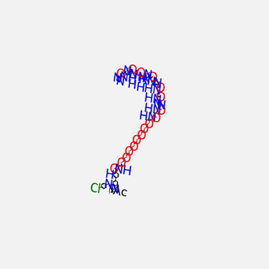 CC(=O)N1c2ccc(-c3ccc(C(=O)NCCOCCOCCOCCOCCOCCOCCOCCOCCNC(=O)CCNC(=O)c4nc(NC(=O)CCNC(=O)c5cc(NC(=O)c6nc(NC(=O)CCNC(=O)C7CC(NC(=O)c8nccn8C)=CN7C)cn6C)cn5C)cn4C)cc3)cc2C(Nc2ccc(Cl)cc2)C[C@@H]1C